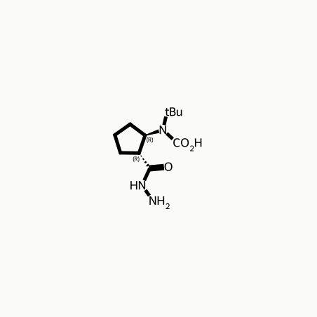 CC(C)(C)N(C(=O)O)[C@@H]1CCC[C@H]1C(=O)NN